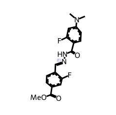 COC(=O)c1ccc(/C=N/NC(=O)c2ccc(N(C)C)cc2F)c(F)c1